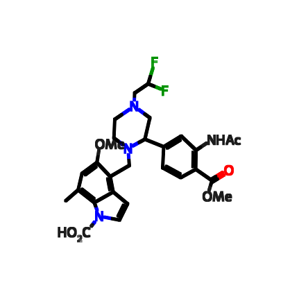 COC(=O)c1ccc(C2CN(CC(F)F)CCN2Cc2c(OC)cc(C)c3c2ccn3C(=O)O)cc1NC(C)=O